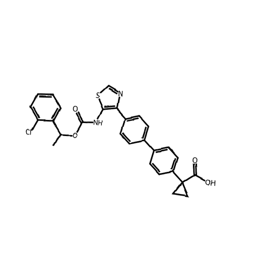 CC(OC(=O)Nc1scnc1-c1ccc(-c2ccc(C3(C(=O)O)CC3)cc2)cc1)c1ccccc1Cl